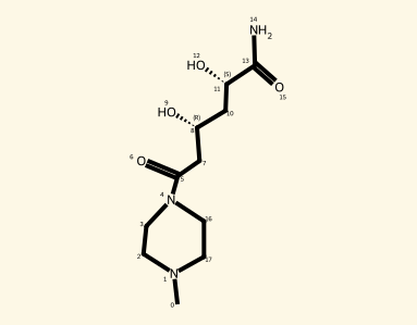 CN1CCN(C(=O)C[C@H](O)C[C@H](O)C(N)=O)CC1